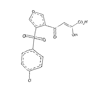 O=C(O)C(O)=CC(=O)c1cocc1S(=O)(=O)c1ccc(Cl)cc1